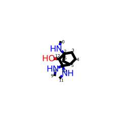 CNC12CCC(C1)C(NC)(NC)C2O